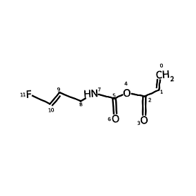 C=CC(=O)OC(=O)NCC=CF